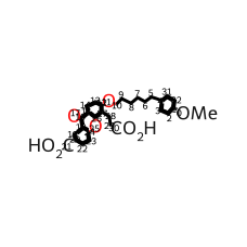 COc1ccc(CCCCCCOc2ccc3c(=O)c4cc(C(=O)O)ccc4oc3c2CCC(=O)O)cc1